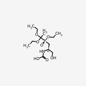 CCOC(C)(OCC)P(=O)(C[C@@H](CO)NC(=O)O)OCC